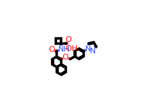 O=C(NC1(C(=O)O)CCC1)c1ccc2ccccc2c1OCc1ccc(-n2cccn2)cc1